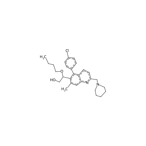 CCCCOC(CO)c1c(C)cc2nc(CN3CCCCC3)ccc2c1-c1ccc(Cl)cc1